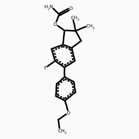 CCOc1ccc(-c2cc3c(cc2F)C(OC(N)=O)C(C)(C)C3)cc1